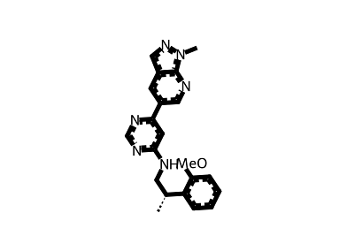 COc1ccccc1[C@H](C)CNc1cc(-c2cnc3c(cnn3C)c2)ncn1